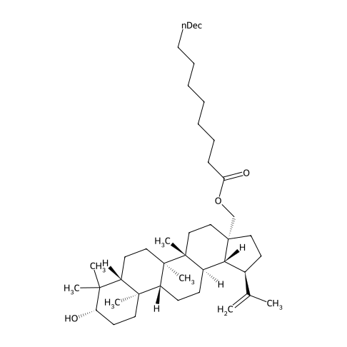 C=C(C)[C@@H]1CC[C@]2(COC(=O)CCCCCCCCCCCCCCCCC)CC[C@]3(C)[C@H](CC[C@@H]4[C@@]5(C)CC[C@H](O)C(C)(C)[C@@H]5CC[C@]43C)[C@@H]12